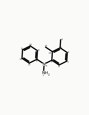 Cc1cccc(N(N)c2ccccc2)c1C